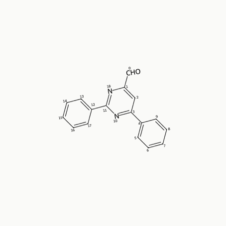 O=Cc1cc(-c2ccccc2)nc(-c2ccccc2)n1